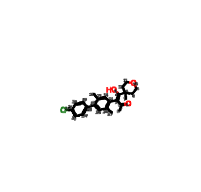 CC(=O)/C(=C(/O)C1(C)CCOCC1)c1cc(C)c(-c2ccc(Cl)cc2)cc1C